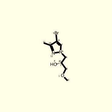 COC[C@H](O)Cn1cc(Br)c(C)n1